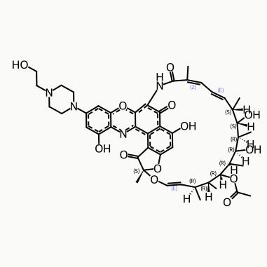 CC(=O)O[C@H]1[C@H](C)[C@H](O)[C@H](C)[C@@H](O)[C@@H](C)/C=C/C=C(/C)C(=O)Nc2c3oc4cc(N5CCN(CCO)CC5)cc(O)c4nc-3c3c4c(cc(O)c3c2=O)O[C@](C)(O/C=C/[C@H](C)[C@H]1C)C4=O